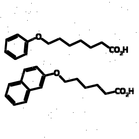 O=C(O)CCCCCCOc1ccccc1.O=C(O)CCCCCOc1ccc2ccccc2c1